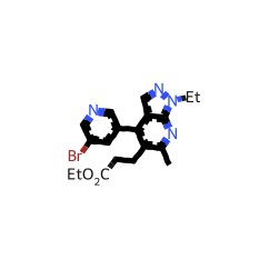 CCOC(=O)CCc1c(C)nc2c(cnn2CC)c1-c1cncc(Br)c1